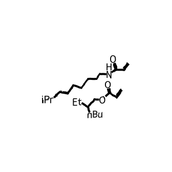 C=CC(=O)NCCCCCCCC(C)C.C=CC(=O)OCC(CC)CCCC